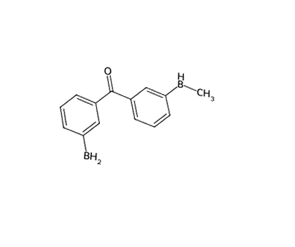 Bc1cccc(C(=O)c2cccc(BC)c2)c1